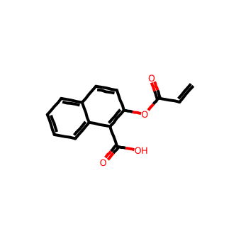 C=CC(=O)Oc1ccc2ccccc2c1C(=O)O